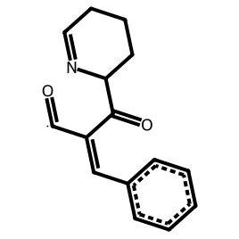 O=[C]C(=Cc1ccccc1)C(=O)C1CCCC=N1